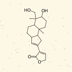 CC1(CO)C(O)CCC2(C)C3CC(C4=CCOC4=O)=CC3CCC12